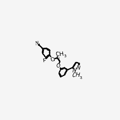 C[C@@H](COc1cccc(-c2ccnn2C)c1)Oc1ccc(C#N)cc1F